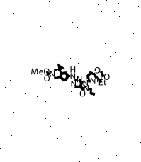 C=CCn1c(=O)c2cnc(Nc3ccc4c(c3)C3(CC3)CN(C(=O)OC)C4)nc2n1-c1ccc2c(n1)N(CC)C(=O)CO2